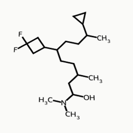 CC(CCC(CCC(C)C1CC1)C1CC(F)(F)C1)CC(O)N(C)C